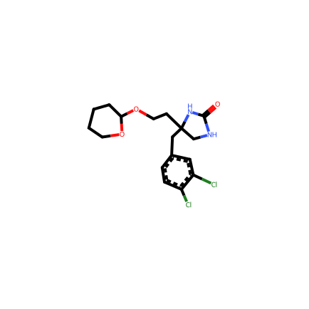 O=C1NCC(CCOC2CCCCO2)(Cc2ccc(Cl)c(Cl)c2)N1